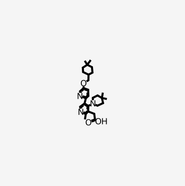 Cc1ncc(-c2ccc(OCC3CCC(C)(C)CC3)cn2)c(N2CCC(C)(C)CC2)c1CC(=O)O